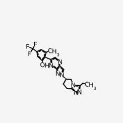 CCc1nnc2n1C[C@H](n1cc3ncc(-c4c(C)cc(C(F)(F)F)cc4O)nc3n1)CC2